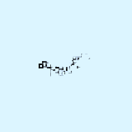 O=C(O)CCCP(=O)(O)OP(=O)(O)OC[C@H]1O[C@@H](n2ccc(NC(=O)Cc3cccc4ccccc34)nc2=O)C(O)[C@H]1O